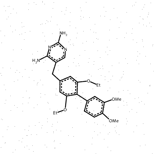 CCOc1cc(Cc2cnc(N)nc2N)cc(OCC)c1-c1ccc(OC)c(OC)c1